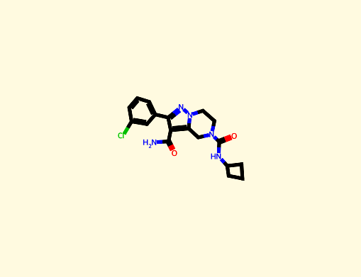 NC(=O)c1c(-c2cccc(Cl)c2)nn2c1CN(C(=O)NC1CCC1)CC2